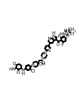 CCN(C)S(=O)(=O)Nc1ccc(F)c(C(=O)c2c[nH]c3ncc(-c4ccc(N5CCN(C(=O)CC6(O)CCN(c7ccc(NC8CCC(=O)C(=N)C8=O)cc7Cl)CC6)CC5)nc4)cc23)c1F